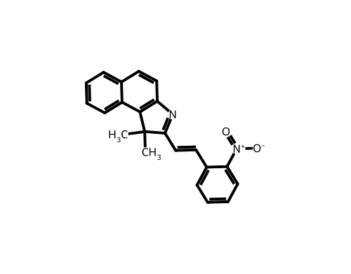 CC1(C)C(/C=C/c2ccccc2[N+](=O)[O-])=Nc2ccc3ccccc3c21